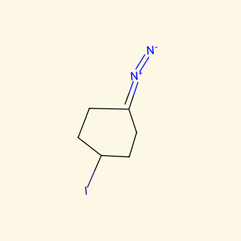 [N-]=[N+]=C1CCC(I)CC1